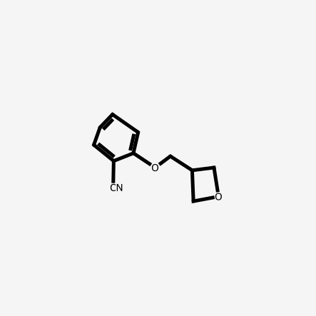 N#Cc1ccccc1OCC1COC1